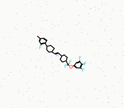 Cc1ccc(C2CCC(/C=C/C3CCC(C(F)(F)Oc4cc(F)c(F)c(F)c4)CC3)CC2)c(F)c1